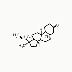 C=CC[C@@]1(C)CC[C@H]2C3CCC4CC(=O)CC[C@]4(C)[C@H]3CC[C@@]21C